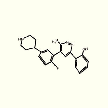 Nc1nnc(-c2ccccc2O)cc1-c1cc(C2CCNCC2)ccc1F